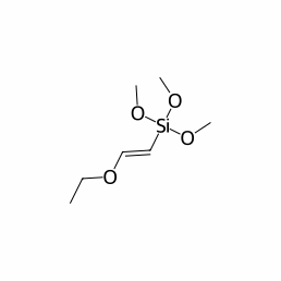 CCOC=C[Si](OC)(OC)OC